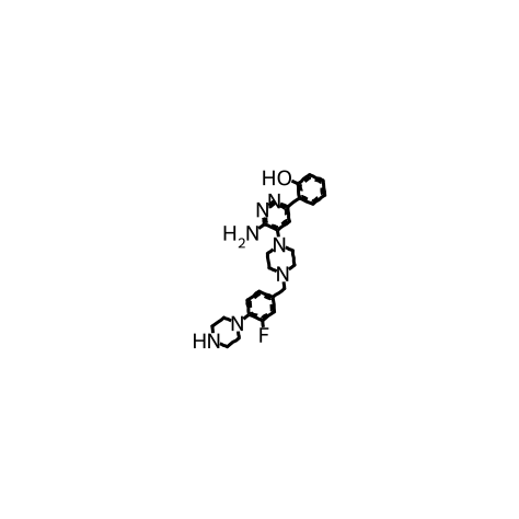 Nc1nnc(-c2ccccc2O)cc1N1CCN(Cc2ccc(N3CCNCC3)c(F)c2)CC1